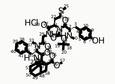 CN[C@@H](Cc1ccc(O)cc1)C(=O)N(C(=O)OC(C)(C)C)[C@H](CCSC)C(=O)NCC(=O)N(C)[C@@H](Cc1ccccc1)C(=O)C1C2(N)CC3CC(C2)CC1(C(=O)OC)C3.Cl